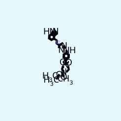 CC(C)(C)OC(=O)N1CCCN(S(=O)(=O)c2ccc(Nc3ncc(/C=C/c4cccc5[nH]ncc45)cn3)cc2)CC1